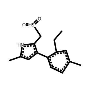 CCc1cc(C)ccc1-c1cc(C)[nH]c1C[SH](=O)=O